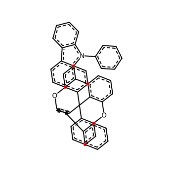 c1ccc(-c2cccc3c2C2(c4ccccc4O3)c3ccccc3Oc3cccc(-c4cccc5c6ccccc6n(-c6ccccc6)c45)c32)cc1